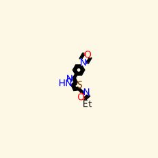 CCc1cnc(-c2cc3[nH]nc(-c4ccc(N5CCOCC5)cc4)c3s2)o1